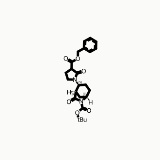 CC(C)(C)OC(=O)N1C(=O)[C@@H]2C[C@H]1CC[C@@H]2N1CCC(C(=O)OCc2ccccc2)C1=O